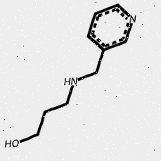 OCCCNCc1cccnc1